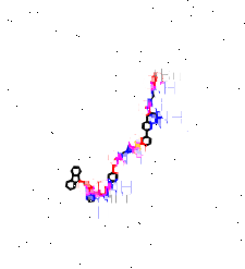 CC(C)[C@H](NC(=O)[C@@H]1CCCN1C(=O)OCC1c2ccccc2-c2ccccc21)C(=O)Nc1ccc(COC(=O)NCC2CN(S(=O)(=O)c3cccc(-c4ccc5c(c4)N=C(N)CC(C(=O)NCCCNC(=O)OC(C)(C)C)=C5)c3)C2)cc1